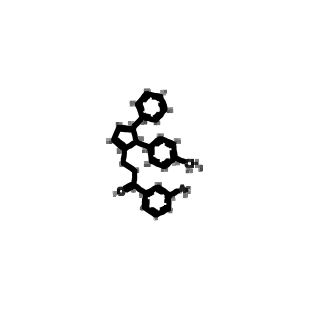 CC(=O)c1cccc(C(=O)CCC2=CC=C(c3ccccc3)C2c2ccc(C)cc2)c1